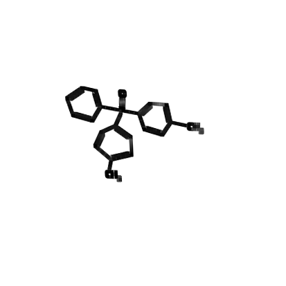 Cc1ccc(P(=O)(c2ccccc2)c2ccc(C)cc2)cc1